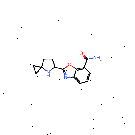 NC(=O)c1cccc2nc(C3CCC4(CC4)N3)oc12